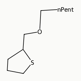 CCCCCCOCC1CCCS1